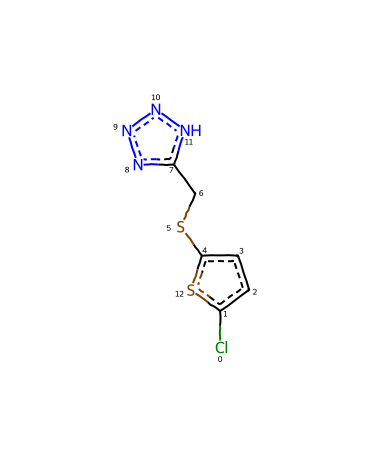 Clc1ccc(SCc2nnn[nH]2)s1